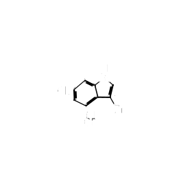 [Cl-].[Cl-].[Cl-].[Zr+3][C]1=[CH][BiH][c]2ccccc21